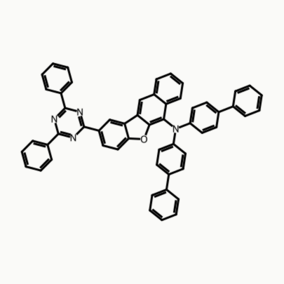 c1ccc(-c2ccc(N(c3ccc(-c4ccccc4)cc3)c3c4ccccc4cc4c3oc3ccc(-c5nc(-c6ccccc6)nc(-c6ccccc6)n5)cc34)cc2)cc1